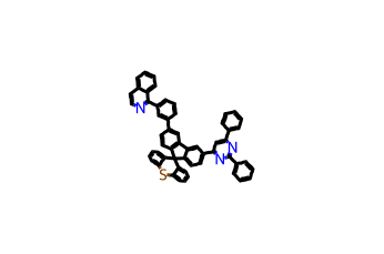 c1ccc(-c2cc(-c3ccc4c(c3)-c3cc(-c5cccc(-c6nccc7ccccc67)c5)ccc3C43c4ccccc4Sc4ccccc43)nc(-c3ccccc3)n2)cc1